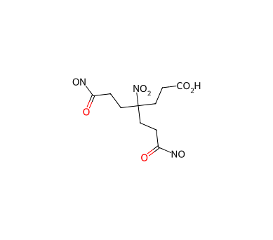 O=NC(=O)CCC(CCC(=O)O)(CCC(=O)N=O)[N+](=O)[O-]